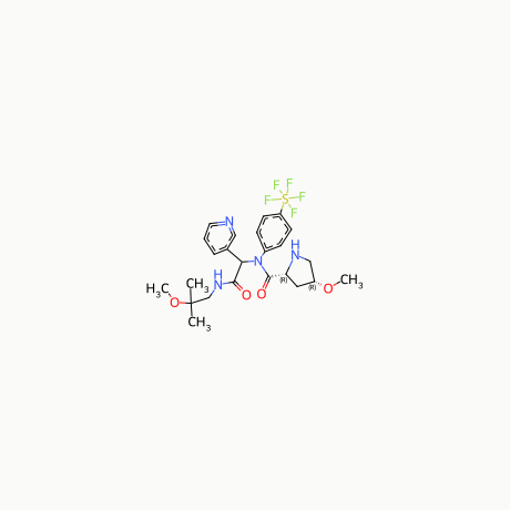 CO[C@H]1CN[C@@H](C(=O)N(c2ccc(S(F)(F)(F)(F)F)cc2)C(C(=O)NCC(C)(C)OC)c2cccnc2)C1